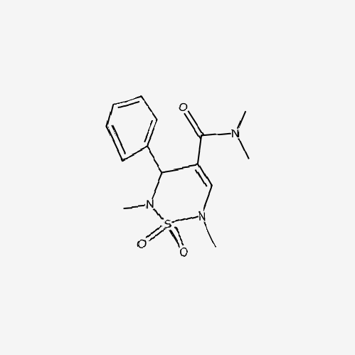 CN(C)C(=O)C1=CN(C)S(=O)(=O)N(C)C1c1ccccc1